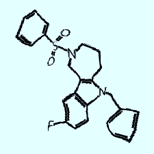 O=S(=O)(c1ccccc1)N1CCCc2c(c3cc(F)ccc3n2Cc2ccccc2)C1